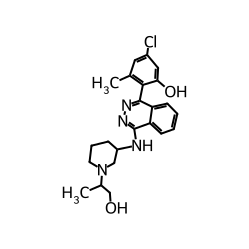 Cc1cc(Cl)cc(O)c1-c1nnc(NC2CCCN(C(C)CO)C2)c2ccccc12